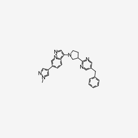 Cn1cc(-c2ccc3c(N4CCC(c5ncc(Cc6ccccc6)cn5)C4)cnn3c2)cn1